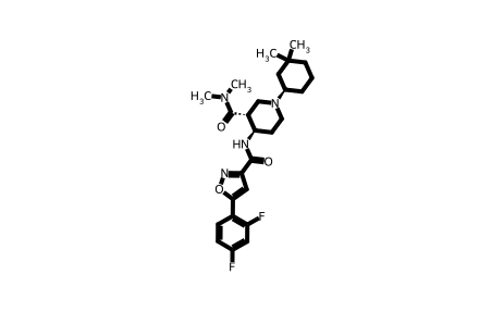 CN(C)C(=O)[C@@H]1CN([C@@H]2CCCC(C)(C)C2)CC[C@H]1NC(=O)c1cc(-c2ccc(F)cc2F)on1